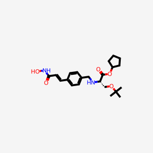 CC(C)(C)OC[C@H](NCc1ccc(/C=C/C(=O)NO)cc1)C(=O)OC1CCCC1